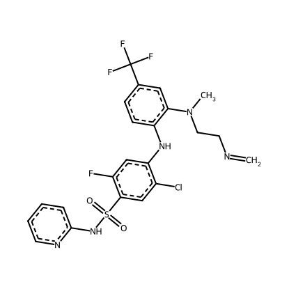 C=NCCN(C)c1cc(C(F)(F)F)ccc1Nc1cc(F)c(S(=O)(=O)Nc2ccccn2)cc1Cl